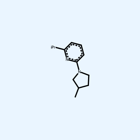 CC1CCN(c2cccc(C(C)C)n2)C1